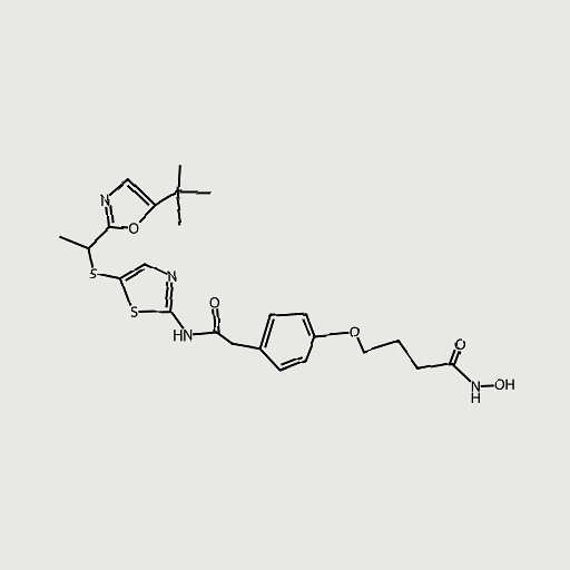 CC(Sc1cnc(NC(=O)Cc2ccc(OCCCC(=O)NO)cc2)s1)c1ncc(C(C)(C)C)o1